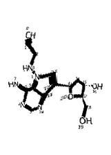 C#CCN[N+]1=C2C(=N)N=CN=C2C([C@H]2C[C@H](O)[C@@H](CO)O2)=C1